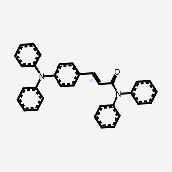 O=C(/C=C/c1ccc(N(c2ccccc2)c2ccccc2)cc1)N(c1ccccc1)c1ccccc1